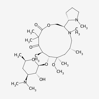 CO[C@]1(C)C[C@@H](C)CN(C)[C@H]([C@@H]2CCCN2C)COC(=O)C(C)(C)C(=O)[C@H](C)[C@H]1O[C@@H]1O[C@H](C)C[C@H](N(C)C)[C@H]1O